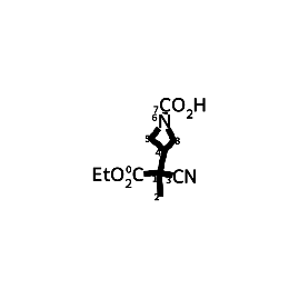 CCOC(=O)C(C)(C#N)C1CN(C(=O)O)C1